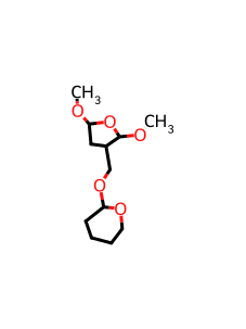 COC1CC(COC2CCCCO2)C(OC)O1